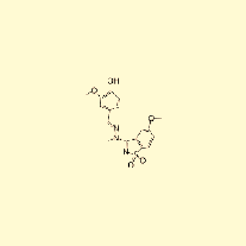 COc1ccc2c(c1)C(N(C)N=Cc1ccc(O)c(OC)c1)=NS2(=O)=O